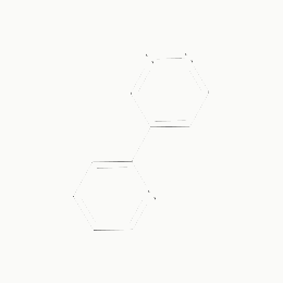 [c]1nnccc1-c1ccccn1